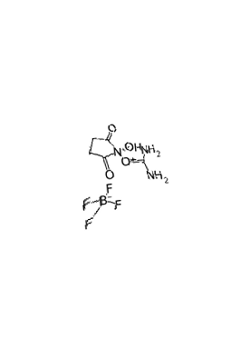 F[B-](F)(F)F.NC(N)=[O+][N+]1(O)C(=O)CCC1=O